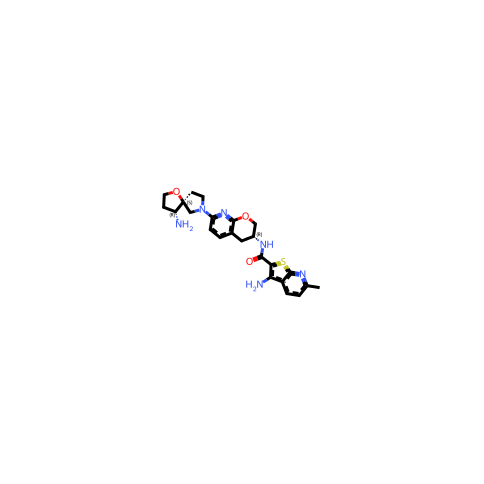 Cc1ccc2c(N)c(C(=O)N[C@H]3COc4nc(N5CC[C@@]6(C5)OCC[C@H]6N)ccc4C3)sc2n1